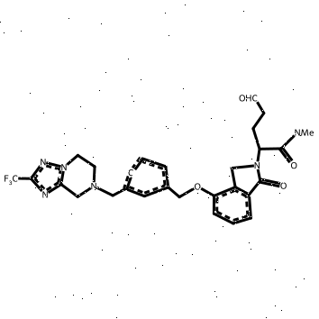 CNC(=O)C(CCC=O)N1Cc2c(OCc3cccc(CN4CCn5nc(C(F)(F)F)nc5C4)c3)cccc2C1=O